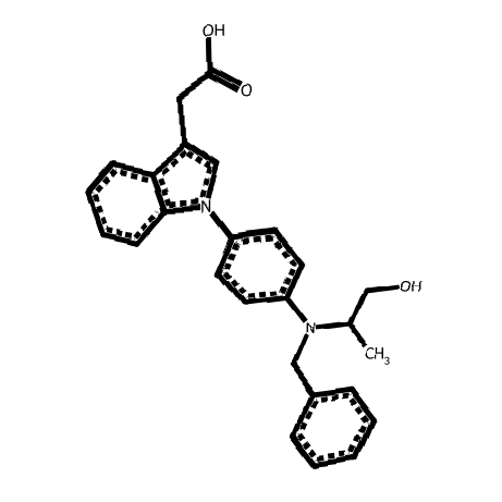 CC(CO)N(Cc1ccccc1)c1ccc(-n2cc(CC(=O)O)c3ccccc32)cc1